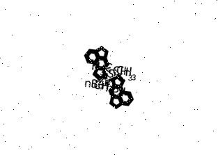 CCC[CH2][Zr]1([CH2]CCC)[C]2(C(C)=Cc3c2cc2c4c(cccc34)CC2)[Si](C)(C)[C]12C(C)=Cc1c2cc2c3c(cccc13)CC2